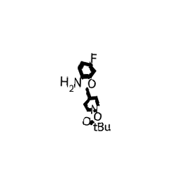 CC(C)(C)C(=O)ON1CCC(COc2cc(F)ccc2N)CC1